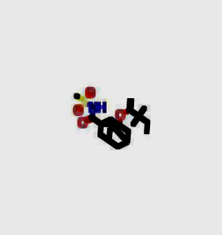 C=C(OC12CC3CC(C1)CC(C(=O)NS(C)(=O)=O)(C3)C2)C(C)(C)CC